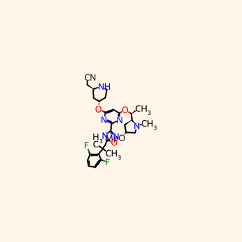 CO[C@@H]1C[C@@H]([C@H](C)Oc2cc(O[C@H]3CCN[C@H](CC#N)C3)nc(-c3noc(C(C)(C)c4c(F)cccc4F)n3)n2)N(C)C1